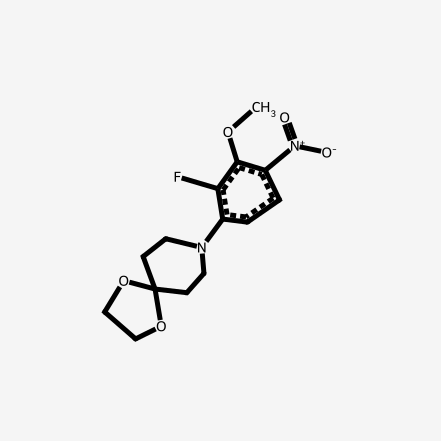 COc1c([N+](=O)[O-])ccc(N2CCC3(CC2)OCCO3)c1F